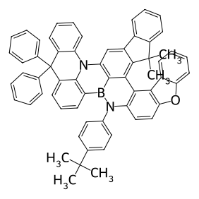 CC(C)(C)c1ccc(N2B3c4cccc5c4N(c4ccccc4C5(c4ccccc4)c4ccccc4)c4cc5c(c(c43)-c3c2ccc2oc4ccccc4c32)C(C)(C)c2ccccc2-5)cc1